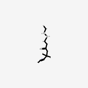 C/C=C/C(C)(C)CC(=O)CCOOCC